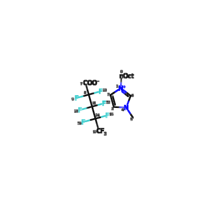 CCCCCCCC[n+]1ccn(C)c1.O=C([O-])C(F)(F)C(F)(F)C(F)(F)C(F)(F)F